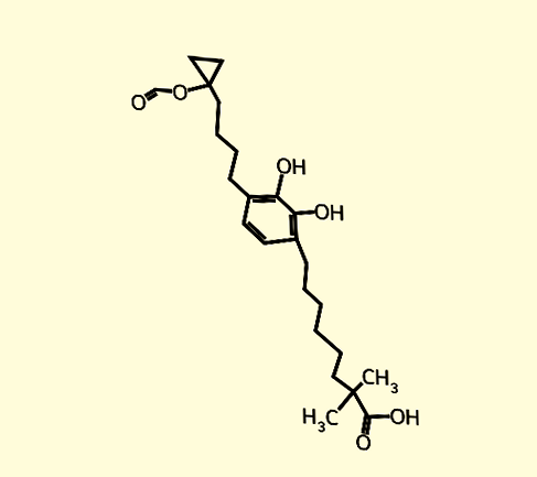 CC(C)(CCCCCCc1ccc(CCCCC2(OC=O)CC2)c(O)c1O)C(=O)O